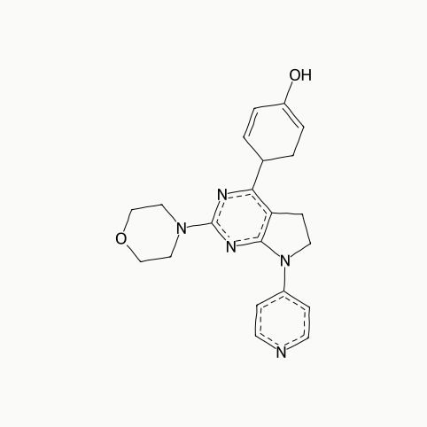 OC1=CCC(c2nc(N3CCOCC3)nc3c2CCN3c2ccncc2)C=C1